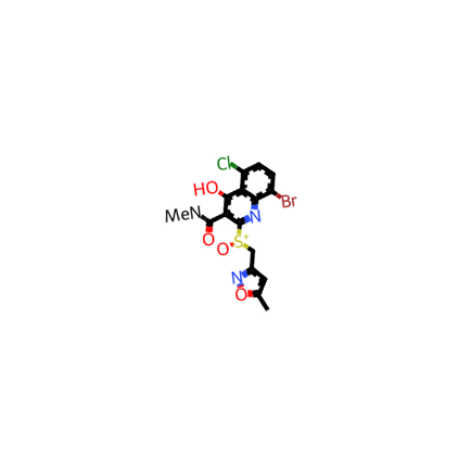 CNC(=O)c1c([S+]([O-])Cc2cc(C)on2)nc2c(Br)ccc(Cl)c2c1O